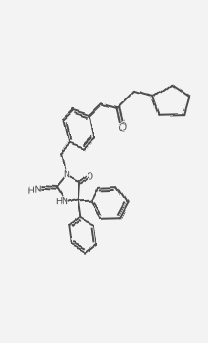 N=C1NC(c2ccccc2)(c2ccccc2)C(=O)N1Cc1ccc(CC(=O)CC2CCCC2)cc1